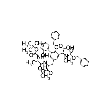 COC(=O)C(Cc1cc(-c2ccccc2O)c(OCc2ccccc2)c(C(C(=O)O)N(C)C(=O)OCc2ccccc2)c1)NC(=O)C(C)NC(=O)OC(C)(C)C